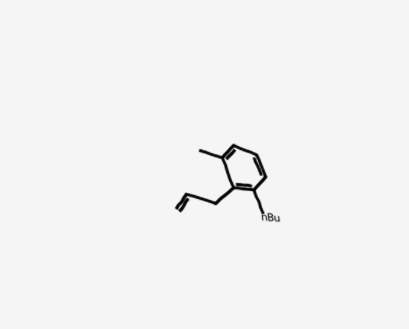 C=CCc1c(C)cccc1CCCC